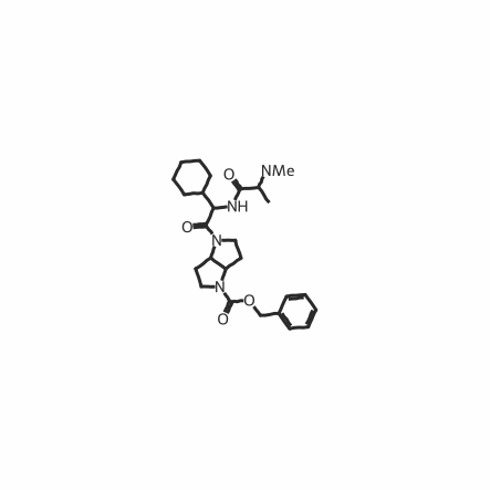 CNC(C)C(=O)NC(C(=O)N1CCC2C1CCN2C(=O)OCc1ccccc1)C1CCCCC1